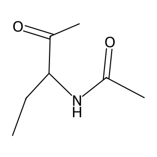 CCC(NC(C)=O)C(C)=O